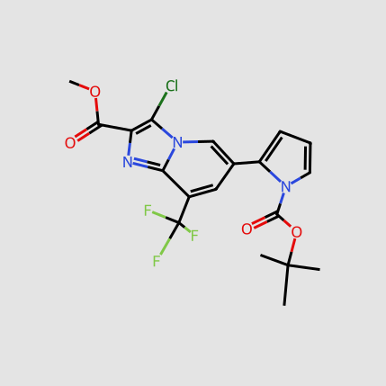 COC(=O)c1nc2c(C(F)(F)F)cc(-c3cccn3C(=O)OC(C)(C)C)cn2c1Cl